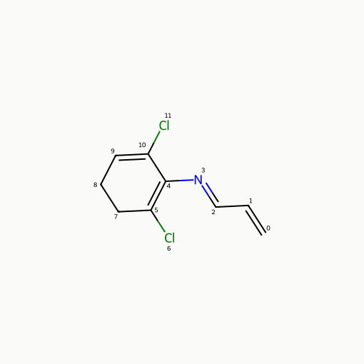 C=C/C=N/C1=C(Cl)CCC=C1Cl